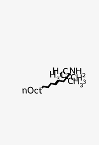 CCCCCCCCCCCC=CCC(C)(C)C(C)(C)N